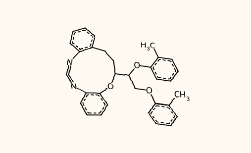 Cc1ccccc1OCC(Oc1ccccc1C)C1CCc2ccccc2N=C=Nc2ccccc2O1